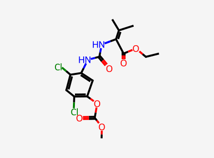 CCOC(=O)C(NC(=O)Nc1cc(OC(=O)OC)c(Cl)cc1Cl)=C(C)C